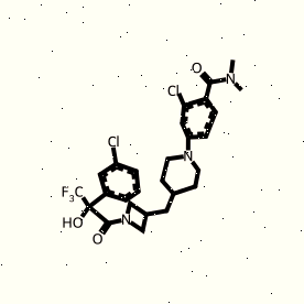 CN(C)C(=O)c1ccc(N2CCC(CC3CN(C(=O)C(O)(c4cccc(Cl)c4)C(F)(F)F)C3)CC2)cc1Cl